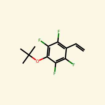 C=Cc1c(F)c(F)c(OC(C)(C)C)c(F)c1F